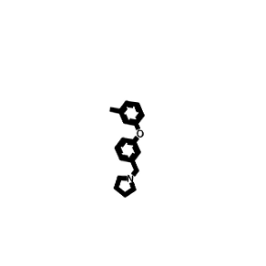 Cc1cccc(Oc2cccc(CN3CCCC3)c2)c1